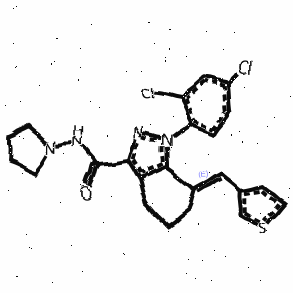 O=C(NN1CCCC1)c1nn(-c2ccc(Cl)cc2Cl)c2c1CCC/C2=C\c1ccsc1